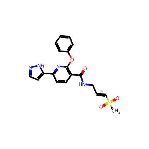 CS(=O)(=O)/C=C/CNC(=O)c1ccc(-c2ccn[nH]2)nc1Oc1ccccc1